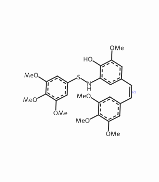 COc1cc(/C=C\c2cc(OC)c(OC)c(OC)c2)cc(NSc2cc(OC)c(OC)c(OC)c2)c1O